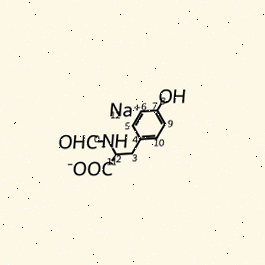 O=CN[C@@H](Cc1ccc(O)cc1)C(=O)[O-].[Na+]